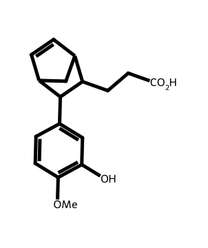 COc1ccc(C2C3C=CC(C3)C2CCC(=O)O)cc1O